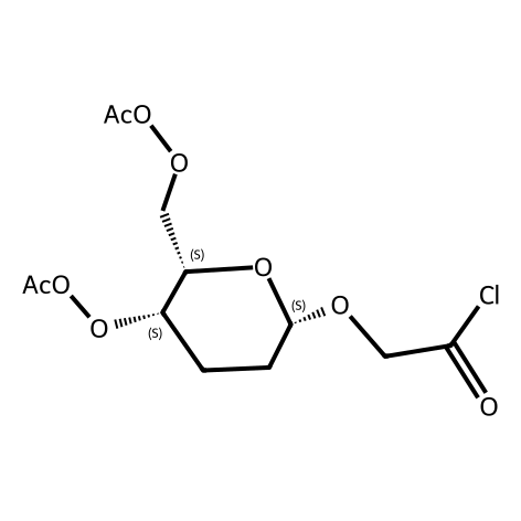 CC(=O)OOC[C@@H]1O[C@H](OCC(=O)Cl)CC[C@@H]1OOC(C)=O